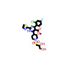 COC(=O)C1=C(C2CCN(S(=O)(=O)CC(O)CO)CC2)NC(c2nccs2)=NC1c1ccc(F)cc1Cl